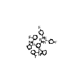 Fc1ccc(-c2nc(-c3ccc(F)cc3)nc(-c3cc(-n4c(-c5ccccc5F)nc5ccccc54)cc(-n4c(-c5ccccc5F)nc5ccccc54)c3)n2)cc1